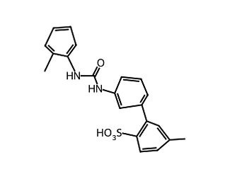 Cc1ccc(S(=O)(=O)O)c(-c2cccc(NC(=O)Nc3ccccc3C)c2)c1